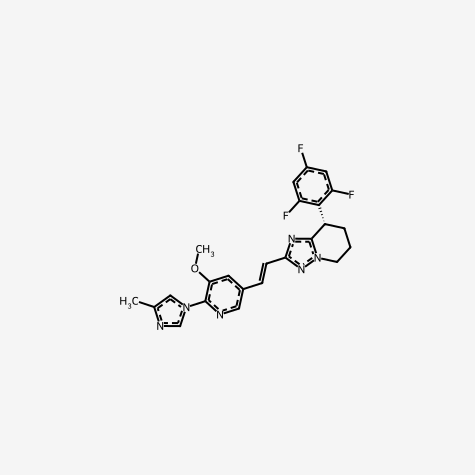 COc1cc(/C=C/c2nc3n(n2)CCC[C@H]3c2c(F)cc(F)cc2F)cnc1-n1cnc(C)c1